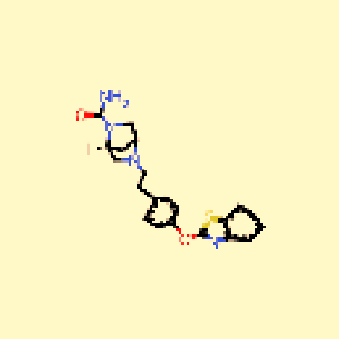 NC(=O)N1CC2C[C@H]1CN2CCc1ccc(Oc2nc3ccccc3s2)cc1